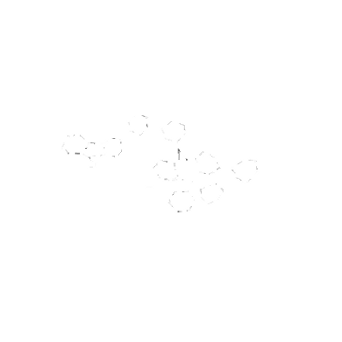 Fc1ccc2c(c1)C(c1ccccc1)(c1ccccc1)c1cc(-c3ccccc3)ccc1N2c1cccc(-c2cccc(-c3ccc4sc5ccccc5c4c3)c2)c1